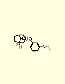 CN1C2CC[C@H]1C[C@@H](Oc1cccc(N)c1)C2